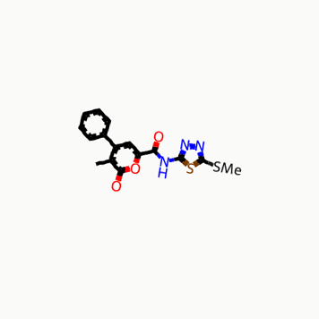 CSc1nnc(NC(=O)c2cc(-c3ccccc3)c(C)c(=O)o2)s1